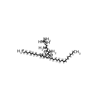 CCCCCCCC/C=C\CCCCCCCCN(CCCCCCCCCCCCCCCC)C(=O)C(N)C(N)C(=O)C[C@H](N)CCNC(=N)N